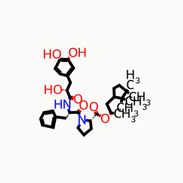 CC(CC1CCC(C)(C)C1(C)C)OC(=O)[C@@H]1CCCN1C(=O)[C@H](Cc1ccccc1)NC(=O)[C@H](O)Cc1ccc(O)c(O)c1